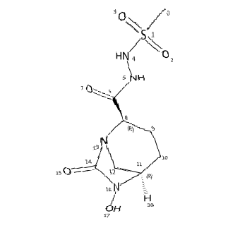 CS(=O)(=O)NNC(=O)[C@H]1CC[C@@H]2CN1C(=O)N2O